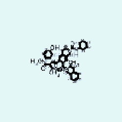 Cc1c(C(=O)N(C)c2ccc(O)cc2)cc(-c2cc3c(cc2C(=O)N2Cc4ccccc4C[C@H]2C)CN(C(=O)NC2CCCCC2)CC3)n1C